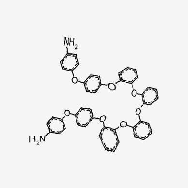 Nc1ccc(Oc2ccc(Oc3ccccc3Oc3ccccc3Oc3ccccc3Oc3ccccc3Oc3ccc(Oc4ccc(N)cc4)cc3)cc2)cc1